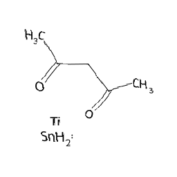 CC(=O)CC(C)=O.[SnH2].[Ti]